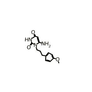 COc1ccc(CCCn2c(N)cc(=O)[nH]c2=O)cc1